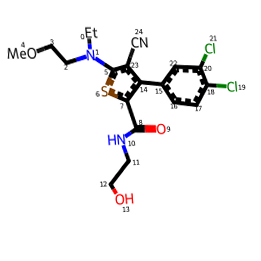 CCN(CCOC)c1sc(C(=O)NCCO)c(-c2ccc(Cl)c(Cl)c2)c1C#N